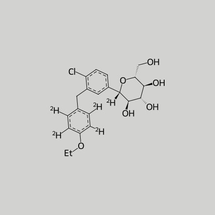 [2H]c1c([2H])c(OCC)c([2H])c([2H])c1Cc1cc([C@]2([2H])O[C@H](CO)[C@@H](O)[C@H](O)[C@H]2O)ccc1Cl